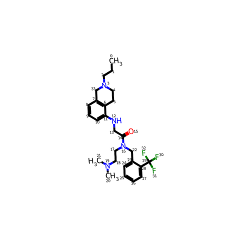 CCCN1CCc2c(cccc2NCC(=O)N(CCN(C)C)Cc2ccccc2C(F)(F)F)C1